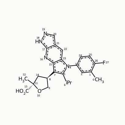 Cc1cc(-n2c(C(C)C)c([C@H]3CO[C@](C)(C(=O)O)C3)c3nc4[nH]ncc4cc32)ccc1F